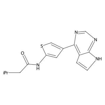 CC(C)CC(=O)Nc1cc(-c2ncnc3[nH]ccc23)cs1